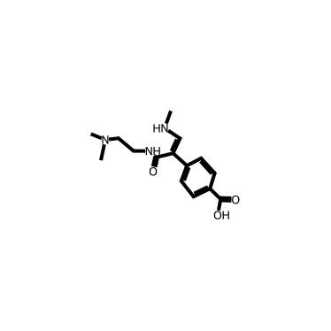 CN/C=C(\C(=O)NCCN(C)C)c1ccc(C(=O)O)cc1